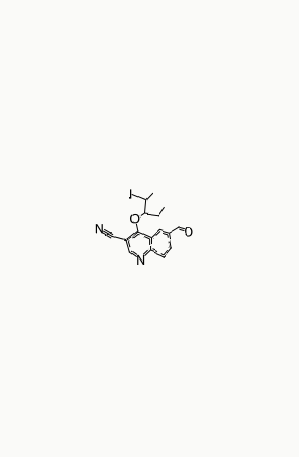 CCC(Oc1c(C#N)cnc2ccc(C=O)cc12)C(C)I